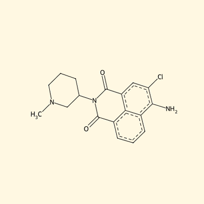 CN1CCCC(N2C(=O)c3cccc4c(N)c(Cl)cc(c34)C2=O)C1